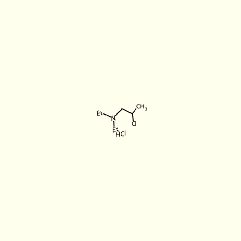 CCN(CC)CC(C)Cl.Cl